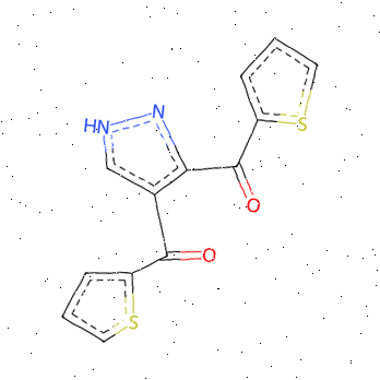 O=C(c1cccs1)c1c[nH]nc1C(=O)c1cccs1